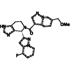 COCc1ccc2c(C(=O)N3CCc4[nH]cnc4[C@H]3c3cc4c(F)cccn4n3)cnn2c1